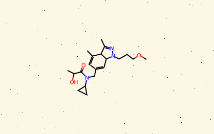 COCCCN1N=C(C)C2C(C)=CC(CN(C(=O)C(C)O)C3CC3)=CC21